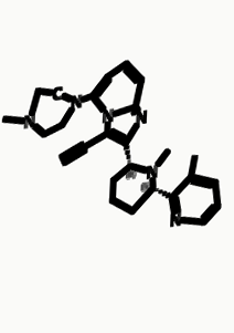 C#Cc1c([C@H]2CCC[C@@H](c3ncccc3C)N2C)nc2cccc(N3CCN(C)CC3)n12